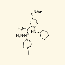 CNSc1ccc(NC2CCCCC2)c(/C(N)=N/N(N)c2ccc(F)cc2)c1